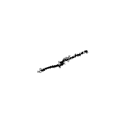 CC(=O)COCCOCCNC(=O)COCCOCCNC(=O)CC[C@H](NC(=O)C1CCC(CNC(=O)CCCCCCCCCCCCCCCCCCC(=O)O)CC1)C(=O)O